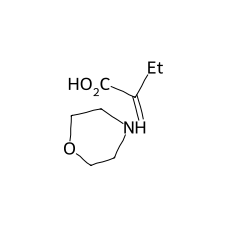 C1COCCN1.C=C(CC)C(=O)O